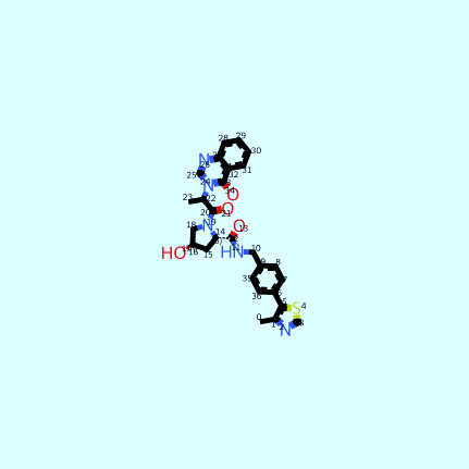 Cc1ncsc1-c1ccc(CNC(=O)[C@@H]2C[C@@H](O)CN2C(=O)C(C)n2cnc3ccccc3c2=O)cc1